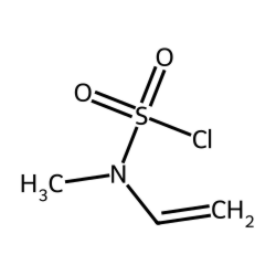 C=CN(C)S(=O)(=O)Cl